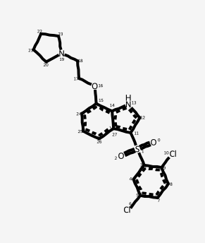 O=S(=O)(c1cc(Cl)ccc1Cl)c1c[nH]c2c(OCCN3CCCC3)cccc12